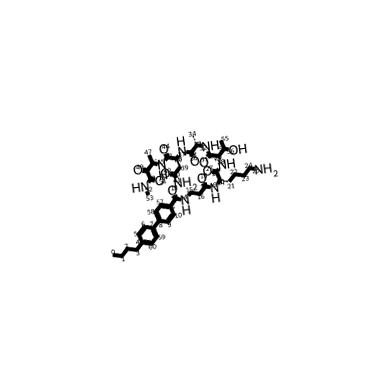 CCCCc1ccc(-c2ccc(C(=O)NCCC(=O)N[C@@H](CCCCN)C(=O)N[C@H](C(=O)N[C@@H](C)C(=O)N[C@@H](CC(N)=O)C(=O)NC(C)C(=O)C(=O)NC)C(C)O)cc2)cc1